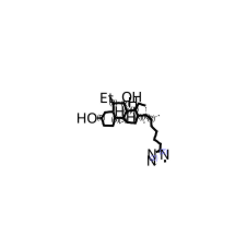 CC[C@@H]1C2C[C@H](O)CC[C@]2(C)[C@H]2CC[C@]3(C)[C@@H]([C@H](C)CCCCC(/N=N\C)=N/C)CC[C@H]3[C@@H]2[C@@H]1O